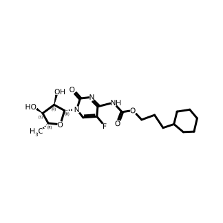 C[C@H]1O[C@@H](n2cc(F)c(NC(=O)OCCCC3CCCCC3)nc2=O)[C@H](O)[C@@H]1O